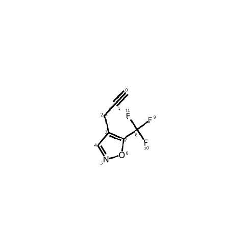 C#C[CH]c1cnoc1C(F)(F)F